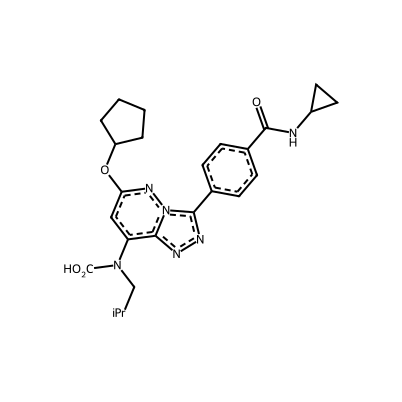 CC(C)CN(C(=O)O)c1cc(OC2CCCC2)nn2c(-c3ccc(C(=O)NC4CC4)cc3)nnc12